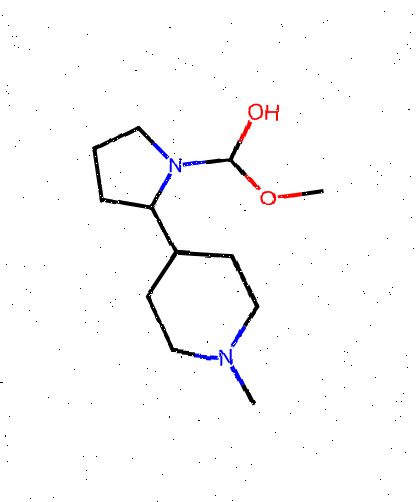 COC(O)N1CCCC1C1CCN(C)CC1